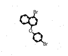 Brc1ccc(Oc2ccc(Br)c3ccccc23)cc1